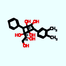 Cc1ccc(C2C(O)[C@@]3(O)C(c4ccccc4)[C@@](O)([C@H](O)CO)[C@@]23O)cc1C